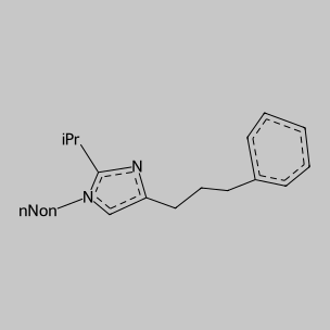 CCCCCCCCCn1cc(CCCc2ccccc2)nc1C(C)C